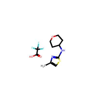 Cc1csc(NC2CCOCC2)n1.O=C(O)C(F)(F)F